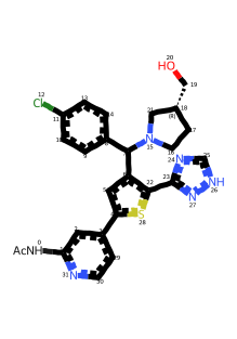 CC(=O)Nc1cc(-c2cc(C(c3ccc(Cl)cc3)N3CC[C@@H](CO)C3)c(-c3nc[nH]n3)s2)ccn1